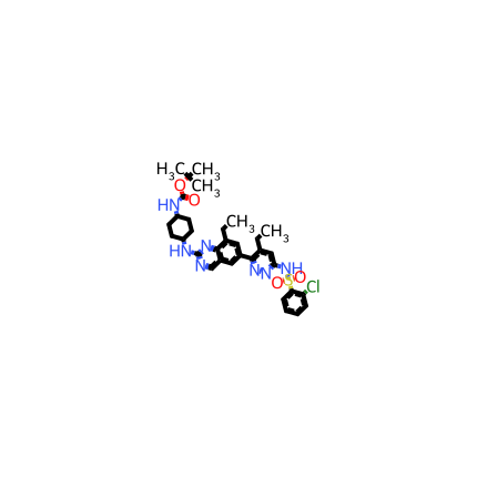 CCc1cc(NS(=O)(=O)c2ccccc2Cl)nnc1-c1cc(CC)c2nc(NC3CCC(NC(=O)OC(C)(C)C)CC3)ncc2c1